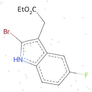 CCOC(=O)Cc1c(Br)[nH]c2ccc(F)cc12